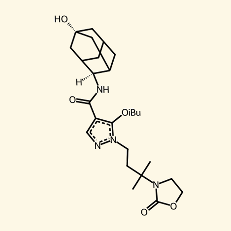 CC(C)COc1c(C(=O)N[C@H]2C3CC4CC2C[C@](O)(C4)C3)cnn1CCC(C)(C)N1CCOC1=O